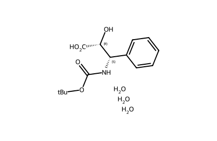 CC(C)(C)OC(=O)N[C@@H](c1ccccc1)[C@@H](O)C(=O)O.O.O.O